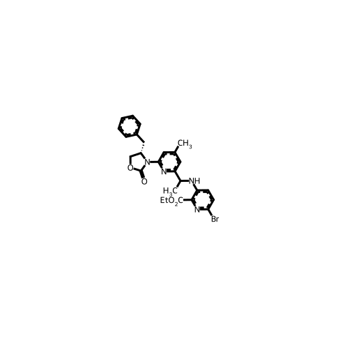 CCOC(=O)c1nc(Br)ccc1NC(C)c1cc(C)cc(N2C(=O)OC[C@@H]2Cc2ccccc2)n1